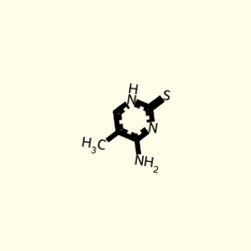 Cc1c[nH]c(=S)nc1N